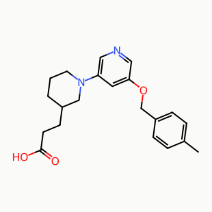 Cc1ccc(COc2cncc(N3CCCC(CCC(=O)O)C3)c2)cc1